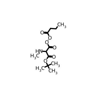 CCCC(=O)OOC(=O)C(NC)C(=O)OC(C)(C)C